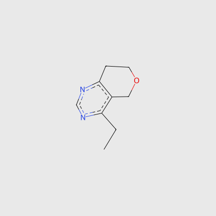 CCc1ncnc2c1COCC2